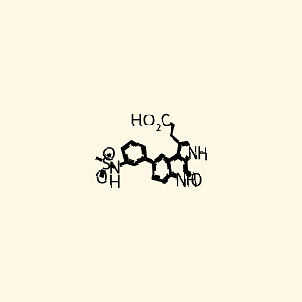 CS(=O)(=O)Nc1cccc(-c2ccc3[nH]c(=O)c4[nH]cc(CCC(=O)O)c4c3c2)c1